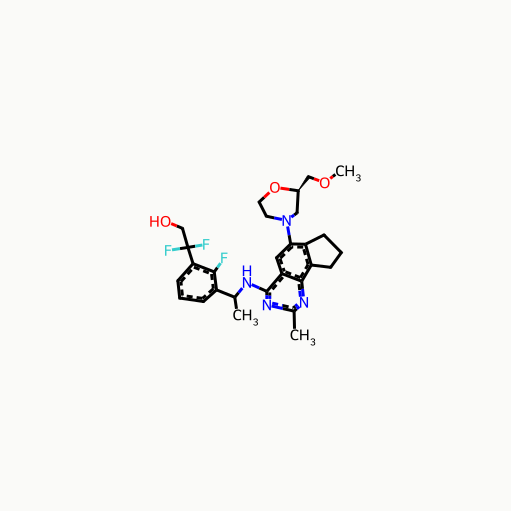 COC[C@H]1CN(c2cc3c(NC(C)c4cccc(C(F)(F)CO)c4F)nc(C)nc3c3c2CCC3)CCO1